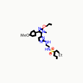 C=C/C=C(\C=C/CC)S(=O)(=O)NCCNc1nccc(-c2c(-c3ccc(OC)cc3)nc(OCC=C)n2C)n1